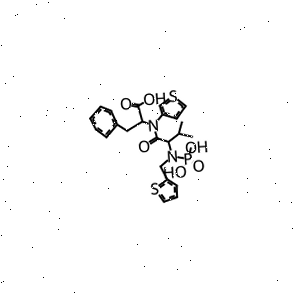 CC(C)C(C(=O)N(c1ccsc1)C(Cc1ccccc1)C(=O)O)N(Cc1cccs1)P(=O)(O)O